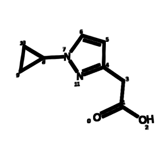 O=C(O)Cc1ccn(C2CC2)n1